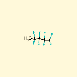 CC(F)(F)C(F)(F)C(F)(F)C(F)F